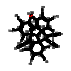 O=C=NC1(C(C2(N=C=O)C(F)=C(F)C(F)=C(F)C2F)C2(N=C=O)C(F)=C(F)C(F)=C(F)C2F)C(F)=C(F)C(F)=C(F)C1F